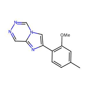 COc1cc(C)ccc1-c1cn2cnncc2n1